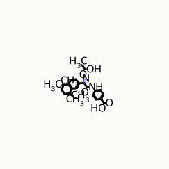 CCC(O)O/N=C(/C(=O)Nc1ccc(C(=O)O)cc1)c1ccc2c(c1)C(C)(C)CCC2(C)C